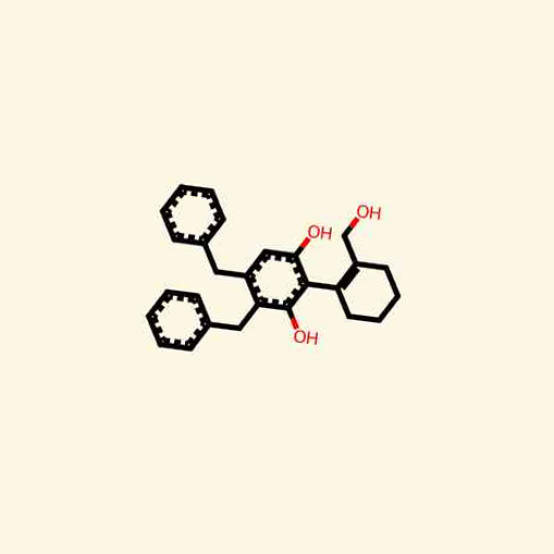 OCC1=C(c2c(O)cc(Cc3ccccc3)c(Cc3ccccc3)c2O)CCCC1